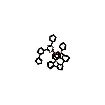 c1ccc(-c2cccc(-c3nc(-c4ccccc4)nc(-c4cccc(-n5c6ccccc6c6cccc(-c7cccc8c7c7ccccc7n8-c7ccccc7)c65)c4)n3)c2)cc1